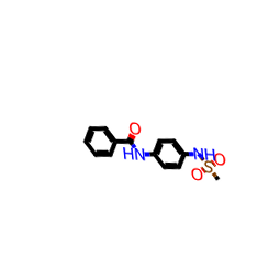 CS(=O)(=O)Nc1ccc(NC(=O)c2ccccc2)cc1